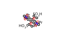 CC(C)c1cccc(C(C)C)c1N1C(=O)c2ccc3c4cc(Oc5ccc(S(=O)(=O)O)cc5-c5ccccc5)c5c6ccc7c8c(ccc(c9c(Oc%10ccc(S(=O)(=O)O)cc%10-c%10ccccc%10)cc(c%10ccc(c2c3%10)C1=O)c4c59)c86)C(=O)N(c1c(C(C)C)cccc1C(C)C)C7=O